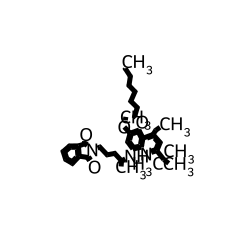 CCCCCCCCOc1c(OC)cc(NC(C)CCCN2C(=O)c3ccccc3C2=O)c2nc(C(C)(C)C)cc(CC)c12